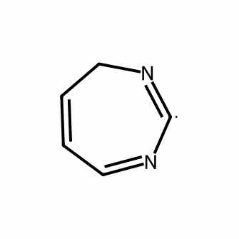 [C]1=NCC=CC=N1